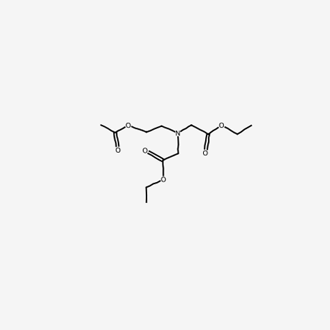 CCOC(=O)CN(CCOC(C)=O)CC(=O)OCC